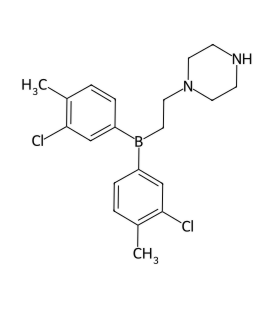 Cc1ccc(B(CCN2CCNCC2)c2ccc(C)c(Cl)c2)cc1Cl